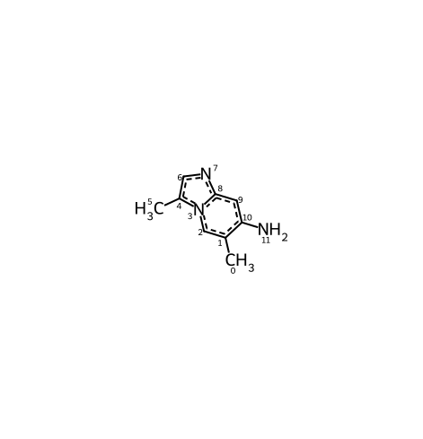 Cc1cn2c(C)cnc2cc1N